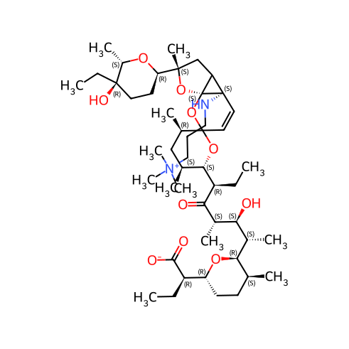 CC[C@@H](C(=O)[C@@H](C)[C@@H](O)[C@H](C)[C@@H]1O[C@@H]([C@@H](CC)C(=O)[O-])CC[C@@H]1C)[C@H]1OC2(C=C[C@]3(NCCC[N+](C)(C)C)C4C[C@@](C)([C@H]5CC[C@](O)(CC)[C@H](C)O5)O[C@]43O2)[C@H](C)C[C@@H]1C